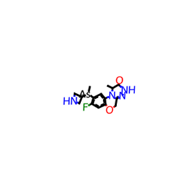 CC1C(=O)NN=C2COc3cc(F)c([As](C)C4CNC4)cc3N21